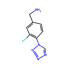 NCc1c[c]c(-n2cnnn2)c(F)c1